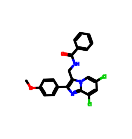 COc1ccc(-c2nc3c(Cl)cc(Cl)cn3c2CNC(=O)c2ccccc2)cc1